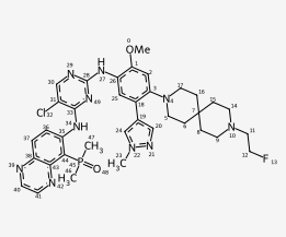 COc1cc(N2CCC3(CCN(CCF)CC3)CC2)c(-c2cnn(C)c2)cc1Nc1ncc(Cl)c(Nc2ccc3nccnc3c2P(C)(C)=O)n1